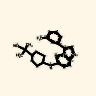 CC(C)(O)C1CCC(Nc2ccc3ncc(-c4cccc(C(F)(F)F)c4)n3n2)CC1